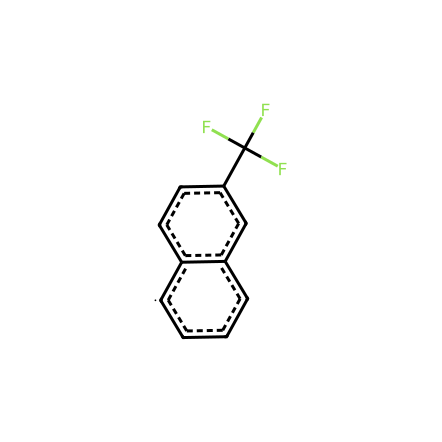 FC(F)(F)c1ccc2[c]cccc2c1